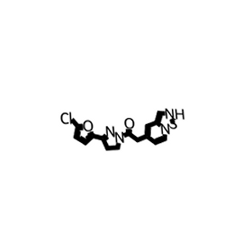 O=C(CC1=CC2=CNSN2C=C1)N1CCC(c2ccc(Cl)o2)=N1